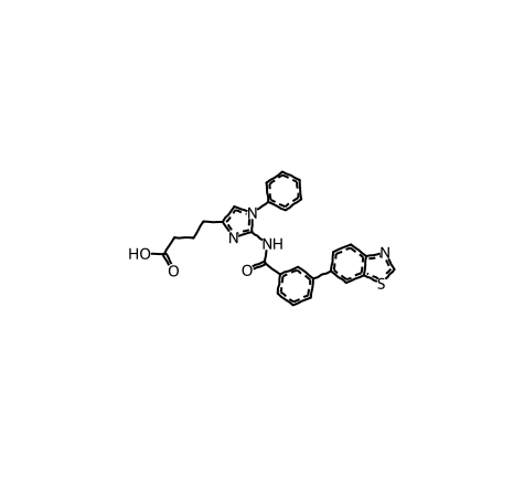 O=C(O)CCCc1cn(-c2ccccc2)c(NC(=O)c2cccc(-c3ccc4ncsc4c3)c2)n1